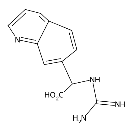 N=C(N)NC(C(=O)O)c1ccc2cccnc2c1